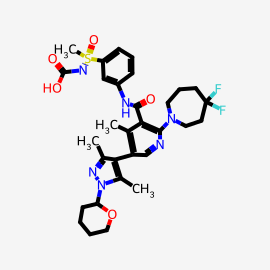 Cc1nn(C2CCCCO2)c(C)c1-c1cnc(N2CCCC(F)(F)CC2)c(C(=O)Nc2cccc(S(C)(=O)=NC(=O)O)c2)c1C